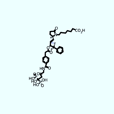 O=C(O)CCCCCCN1C(=O)CC[C@@H]1/C=C/C(OC(=O)Cc1ccc(C(=O)NCCCC(O)(P(=O)(O)O)P(=O)(O)O)cc1)C(F)(F)c1ccccc1